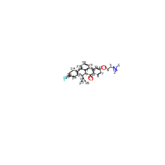 CN(C)CCOc1ccc(C(=O)C(CC2CC2)c2ccccc2-c2ccc(F)cc2)cc1